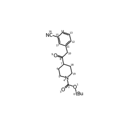 CC(C)(C)OC(=O)N1CCC(C(=O)Cc2cccc(C#N)c2)CC1